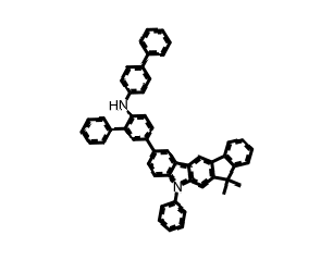 CC1(C)c2ccccc2-c2cc3c4cc(-c5ccc(Nc6ccc(-c7ccccc7)cc6)c(-c6ccccc6)c5)ccc4n(-c4ccccc4)c3cc21